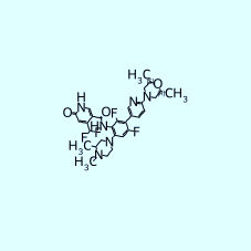 CC1CN(c2cc(F)c(-c3ccc(N4C[C@@H](C)O[C@@H](C)C4)nc3)c(F)c2NC(=O)c2c[nH]c(=O)cc2C(F)F)CCN1C